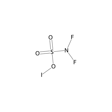 O=S(=O)(OI)N(F)F